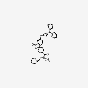 CN(CCN1CCCCC1)C(=O)[C@H]1CC[C@@]2(CC1)OC(=O)c1cc(OC3CN(C(c4ccccc4)c4ccccc4)C3)ccc12